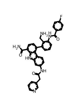 NCc1c(NC(=O)c2ccc(F)cc2)cccc1-c1ccc(C(N)=O)c2[nH]c3cc(NC(=O)Cc4cccnc4)ccc3c12